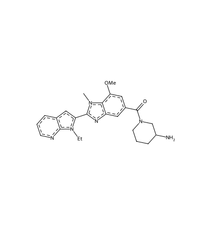 CCn1c(-c2nc3cc(C(=O)N4CCCC(N)C4)cc(OC)c3n2C)cc2cccnc21